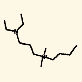 CCCC[N+](C)(C)CCCN(CC)CC